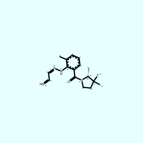 Cc1cccc(C(=O)N2CCC(F)(F)[C@H]2C)c1N/N=C\C=N